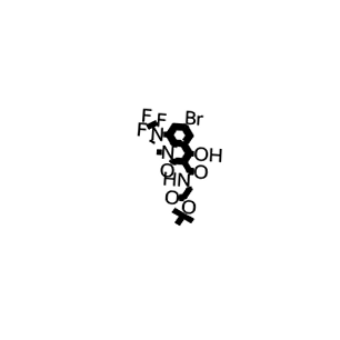 CN(c1cc(Br)cc2c(O)c(C(=O)NCC(=O)OC(C)(C)C)c(=O)n(C)c12)C(F)(F)F